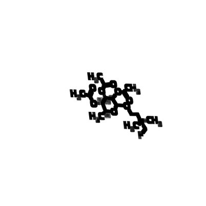 CC(=O)O[C@@H]1[C@H](OC(C)=O)[C@@H](OC(C)=O)C(OCC[N+](C)(C)CF)O[C@@H]1C